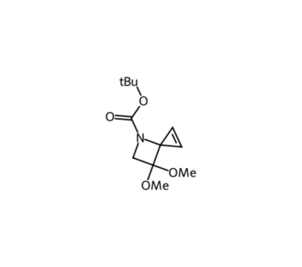 COC1(OC)CN(C(=O)OC(C)(C)C)C12C=C2